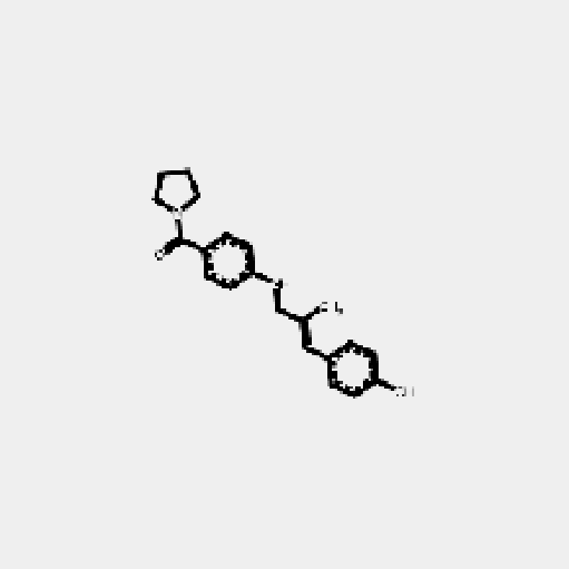 C/C(=C\c1ccc(O)cc1)CNc1ccc(C(=O)N2CCCC2)cc1